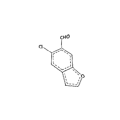 O=Cc1cc2occc2cc1Cl